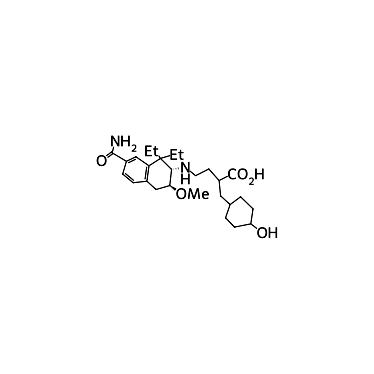 CCC1(CC)c2cc(C(N)=O)ccc2C[C@H](OC)[C@H]1NCCC(CC1CCC(O)CC1)C(=O)O